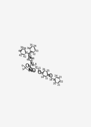 CC(C)(C)OC(=O)N(CC(O)COc1ccc(OCc2ccccc2)cc1)C1CN(C(c2ccccc2)c2ccccc2)C1